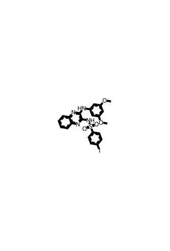 COc1cc(Nc2nc3ccccc3nc2NS(=O)(=O)c2ccc(I)cc2)cc(OC)c1